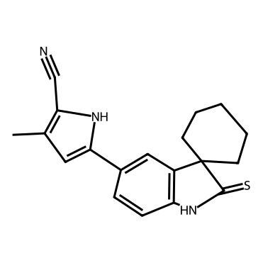 Cc1cc(-c2ccc3c(c2)C2(CCCCC2)C(=S)N3)[nH]c1C#N